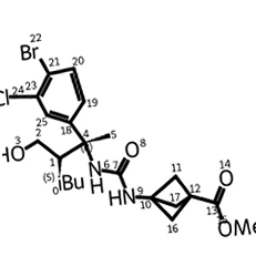 CC[C@H](C)C(CO)[C@@](C)(NC(=O)NC12CC(C(=O)OC)(C1)C2)c1ccc(Br)c(Cl)c1